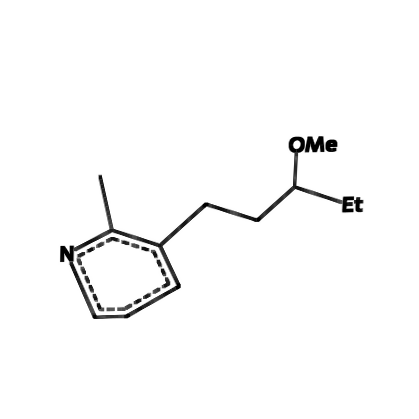 CCC(CCc1cccnc1C)OC